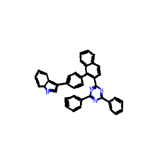 C1=CC2=C(c3ccc(-c4c(-c5nc(-c6ccccc6)nc(-c6ccccc6)n5)ccc5ccccc45)cc3)C=NC2C=C1